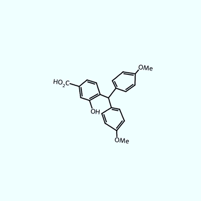 COc1ccc(C(c2ccc(OC)cc2)c2ccc(C(=O)O)cc2O)cc1